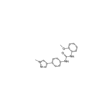 COc1ccccc1NC(=O)Nc1ccc(-c2cnn(C)c2)cc1